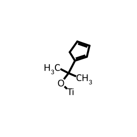 CC(C)([O][Ti])C1=CC=CC1